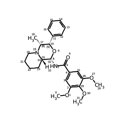 COc1cc(C(=O)N[C@H]2O[C@@H](c3ccccc3)[C@@H](C)N3CCCC[C@@H]23)cc(OC)c1OC